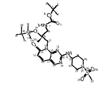 CC(C)(C)OC(=O)NC[C@](C)(Cn1c(=O)ccc2cnc(NC3CCN(S(C)(=O)=O)CC3)nc21)O[Si](C)(C)C(C)(C)C